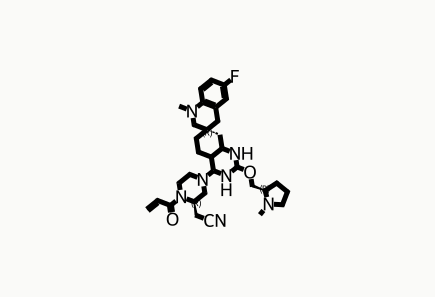 C=CC(=O)N1CCN(C2NC(OC[C@H]3CCCN3C)NC3C[C@@]4(CCC32)Cc2cc(F)ccc2N(C)C4)C[C@H]1CC#N